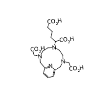 O=C(O)CCCC(C(=O)O)N1CCN(CC(=O)O)Cc2cccc(n2)CN(CC(=O)O)CC1